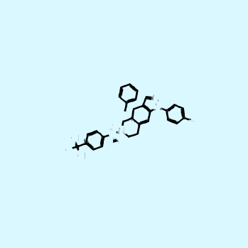 CC(C)(C)c1ccc(S(=O)(=O)N2CCC3=Cc4c(cnn4-c4ccc(F)cc4)C[C@]3(Cc3ccccc3)C2)cc1